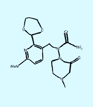 CNc1ccc(CN(C(N)=O)N2CCN(C)CC2=O)c(C2OCCO2)n1